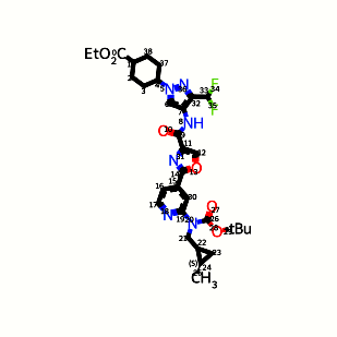 CCOC(=O)C1CCC(n2cc(NC(=O)c3coc(-c4ccnc(N(CC5C[C@@H]5C)C(=O)OC(C)(C)C)c4)n3)c(C(F)F)n2)CC1